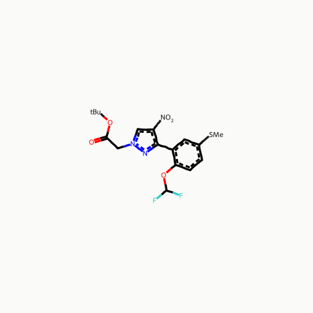 CSc1ccc(OC(F)F)c(-c2nn(CC(=O)OC(C)(C)C)cc2[N+](=O)[O-])c1